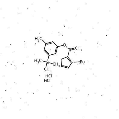 Cl.Cl.[CH2]=[Ti]([O]c1cc(C)cc([Si](C)(C)C)c1)[C]1=C(C(C)(C)C)C=CC1